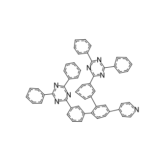 c1ccc(-c2nc(-c3ccccc3)nc(-c3cccc(-c4ccc(-c5ccncc5)cc4-c4cccc(-c5nc(-c6ccccc6)nc(-c6ccccc6)n5)c4)c3)n2)cc1